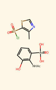 CC(=O)Nc1c(O)cccc1[As](=O)(O)O.Cc1ncsc1S(=O)(=O)Cl